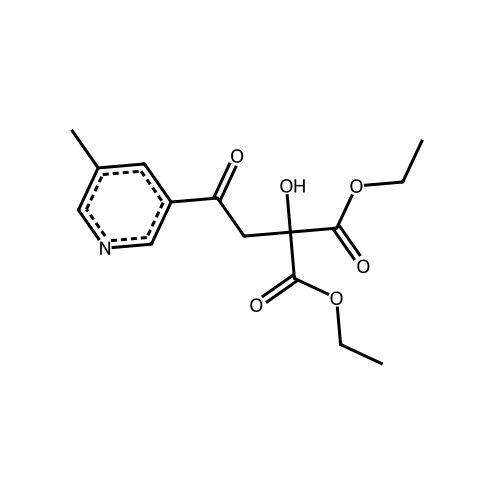 CCOC(=O)C(O)(CC(=O)c1cncc(C)c1)C(=O)OCC